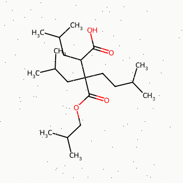 CC(C)CCC(CC(C)C)(C(=O)OCC(C)C)C(CC(C)C)C(=O)O